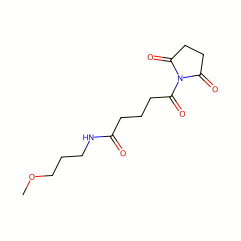 COCCCNC(=O)CCCC(=O)N1C(=O)CCC1=O